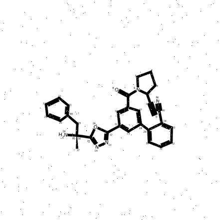 C#CC1CCCN1C(=O)c1cc(-c2nnc([C@](C)(N)Cc3ccccc3)o2)cc(-c2ccccc2C#N)c1